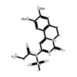 COc1cc2c(cc1OC)-c1cc(N(C(=O)CN)S(C)(=O)=O)nc(=O)n1CC2